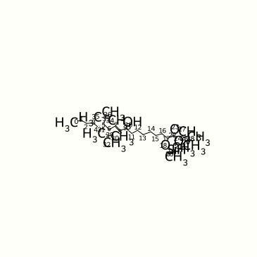 CCCCC[C@@H]([C@H](C=C[C@@H](O)CCCCCCC(O[SiH](C)C)C(=O)OC(C)(C)C)C(C)(C)C)C(C)(C)C